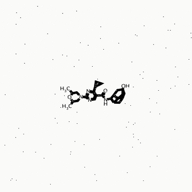 CC1CN(c2ncc(C(=O)NC3C4CC5CC3CC(O)(C5)C4)c(C3CC3)n2)CC(C)O1